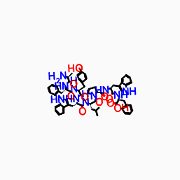 CC(C)C[C@H](NC(=O)[C@H](Cc1c[nH]c2ccccc12)NC(=O)[C@H](Cc1ccc(O)cc1)NC(=O)[C@H](Cc1ccccc1)NC(=O)[C@H](C)N)C(=O)N1CCC[C@H]1C(=O)N[C@@H](Cc1c[nH]c2ccccc12)C(=O)N[C@@H](Cc1ccccc1)C(=O)O